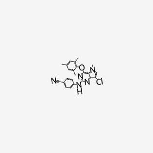 Cc1cc(C)c(Oc2nc(Nc3ccc(C#N)cc3)nc3c(Cl)cn(C)c23)c(C)c1